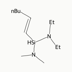 CCCCC=C[SiH](N(C)C)N(CC)CC